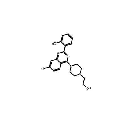 OCCN1CCN(c2nc(-c3ccccc3O)nc3cc(Cl)ccc23)CC1